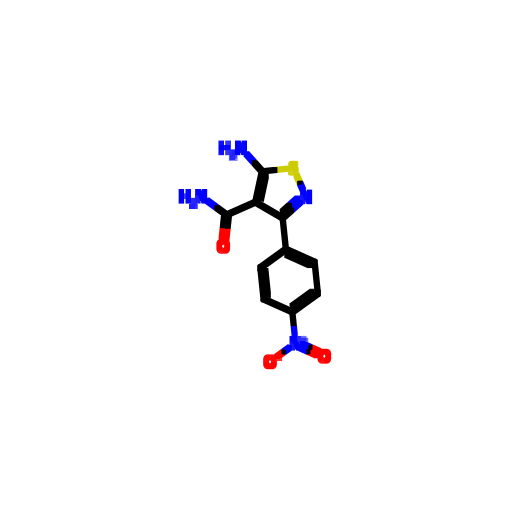 NC(=O)c1c(-c2ccc([N+](=O)[O-])cc2)nsc1N